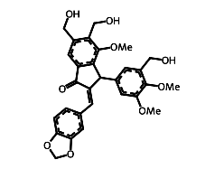 COc1cc(C2/C(=C/c3ccc4c(c3)OCO4)C(=O)c3cc(CO)c(CO)c(OC)c32)cc(CO)c1OC